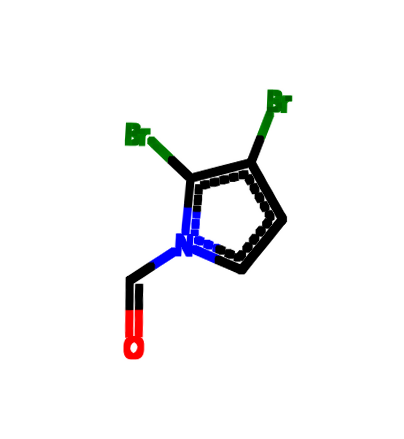 O=Cn1ccc(Br)c1Br